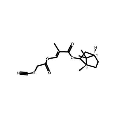 CC(=COC(=O)CSC#N)C(=O)OC1C[C@H]2CC[C@@]1(C)C2(C)C